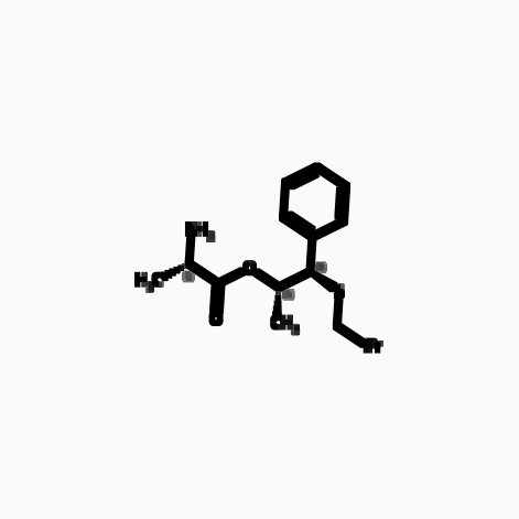 CC(C)CS[C@H](c1ccccc1)[C@H](C)OC(=O)[C@H](C)N